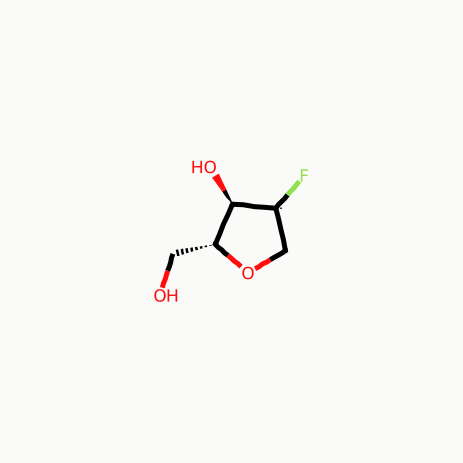 OC[C@H]1OC[C](F)[C@@H]1O